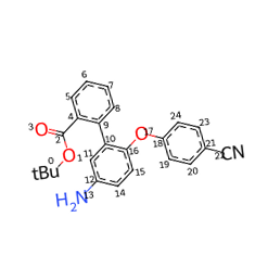 CC(C)(C)OC(=O)c1ccccc1-c1cc(N)ccc1Oc1ccc(C#N)cc1